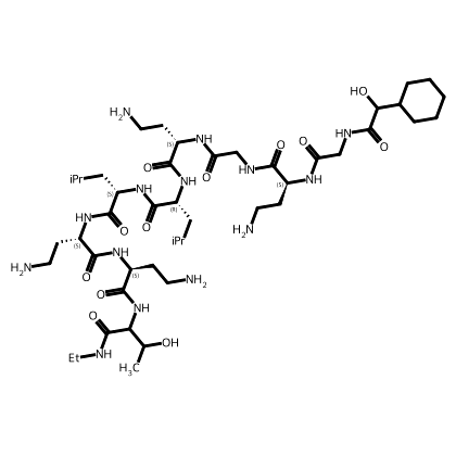 CCNC(=O)C(NC(=O)[C@H](CCN)NC(=O)[C@H](CCN)NC(=O)[C@H](CC(C)C)NC(=O)[C@@H](CC(C)C)NC(=O)[C@H](CCN)NC(=O)CNC(=O)[C@H](CCN)NC(=O)CNC(=O)C(O)C1CCCCC1)C(C)O